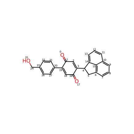 O=C1C=C(C2Cc3cccc4cccc2c34)C(=O)C=C1c1ccc(CO)cc1